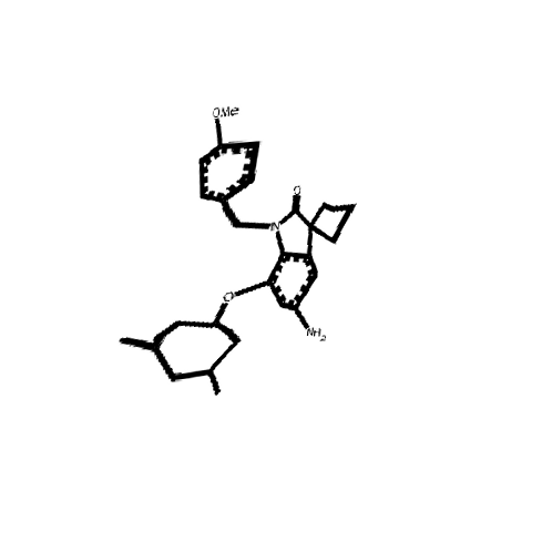 COc1ccc(CN2C(=O)C3(CCC3)c3cc(N)cc(OC4CC(C)CC(C)C4)c32)cc1